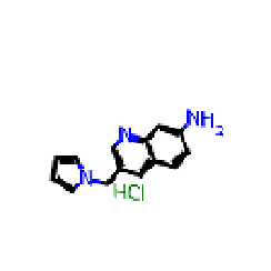 Cl.Nc1ccc2cc(Cn3cccc3)cnc2c1